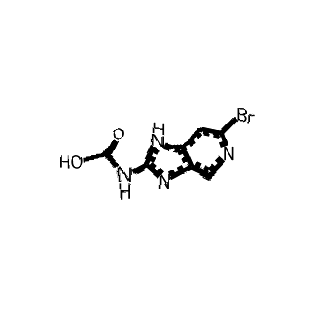 O=C(O)Nc1nc2cnc(Br)cc2[nH]1